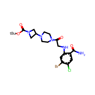 CC(C)(C)OC(=O)N1CC(N2CCN(C(=O)CNc3cc(Br)c(Cl)cc3C(N)=O)CC2)C1